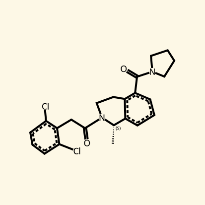 C[C@H]1c2cccc(C(=O)N3CCCC3)c2CCN1C(=O)Cc1c(Cl)cccc1Cl